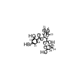 Br.CO[N+](CC(CC(=O)O)OC(=O)c1ccccc1O)(OC)OC.C[N+](C)(C)CC(=O)O